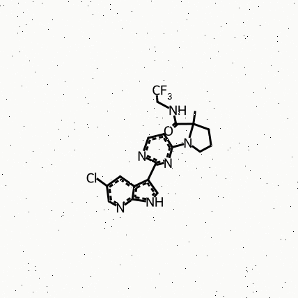 CC1(C(=O)NCC(F)(F)F)CCCN1c1ccnc(-c2c[nH]c3ncc(Cl)cc23)n1